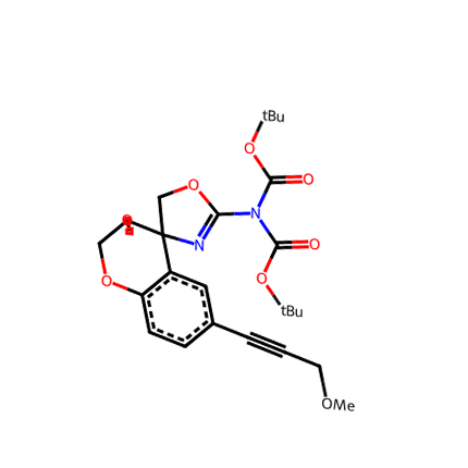 COCC#Cc1ccc2c(c1)C1(COC(N(C(=O)OC(C)(C)C)C(=O)OC(C)(C)C)=N1)C1(COC1)CO2